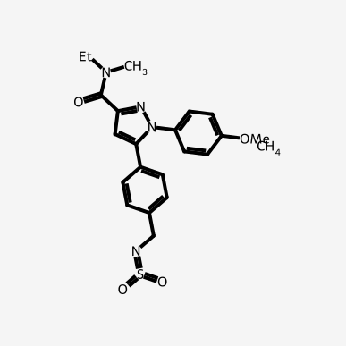 C.CCN(C)C(=O)c1cc(-c2ccc(CN=S(=O)=O)cc2)n(-c2ccc(OC)cc2)n1